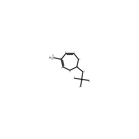 CC(C)(C)CC1CC=CC(N)=CC1